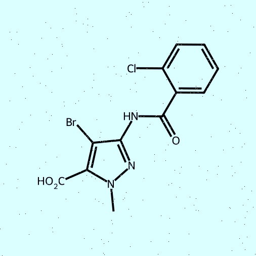 Cn1nc(NC(=O)c2ccccc2Cl)c(Br)c1C(=O)O